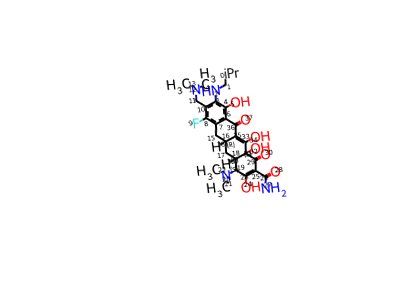 CC(C)CNc1c(O)c2c(c(F)c1CN(C)C)C[C@H]1C[C@H]3[C@H](N(C)C)C(O)=C(C(N)=O)C(=O)[C@@]3(O)C(O)=C1C2=O